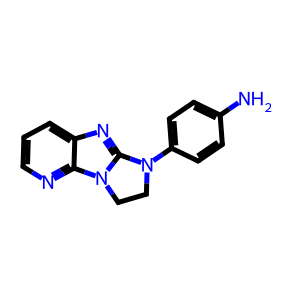 Nc1ccc(N2CCn3c2nc2cccnc23)cc1